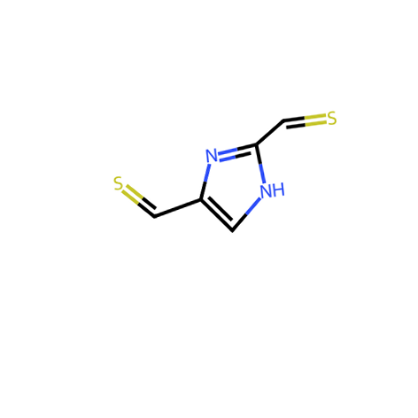 S=Cc1c[nH]c(C=S)n1